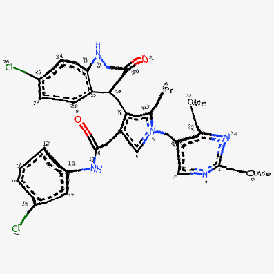 COc1ncc(-n2cc(C(=O)Nc3cccc(Cl)c3)c(C3C(=O)Nc4cc(Cl)ccc43)c2C(C)C)c(OC)n1